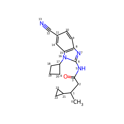 CC(CC(=O)Nc1nc2ccc(C#N)cc2n1C1CCC1)C1CC1